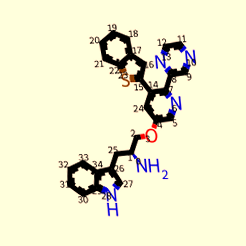 N[C@H](COc1cnc(-c2cnccn2)c(-c2cc3ccccc3s2)c1)Cc1c[nH]c2ccccc12